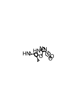 O=S1(=O)CCN(c2ncnc3c2COc2c(cc(C4CNC4)cc2C2CC2)N3)CC1